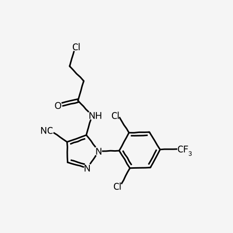 N#Cc1cnn(-c2c(Cl)cc(C(F)(F)F)cc2Cl)c1NC(=O)CCCl